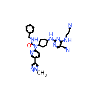 Cn1cc(-c2ccc(N(C(=O)NCc3ccccc3)C3CCC(Nc4ncc(C#N)c(NCCC#N)n4)CC3)nc2)cn1